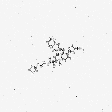 NC1CCN(c2c(F)cc3c(=O)c(C(=O)NCCCCN4CCCC4)cn4c3c2Oc2cc3ccccc3cc2-4)C1